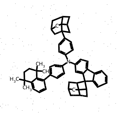 CC1(C)CCC(C)(C)c2c(-c3ccc(N(c4ccc(C56CC7CC8CC(C5)C86C7)cc4)c4ccc5c(c4)C4(c6ccccc6-5)C5CC6CC7CC4C75C6)cc3)cccc21